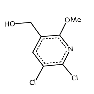 COc1nc(Cl)c(Cl)cc1CO